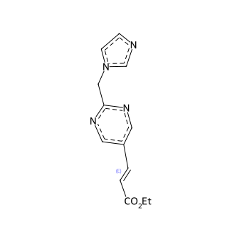 CCOC(=O)/C=C/c1cnc(Cn2ccnc2)nc1